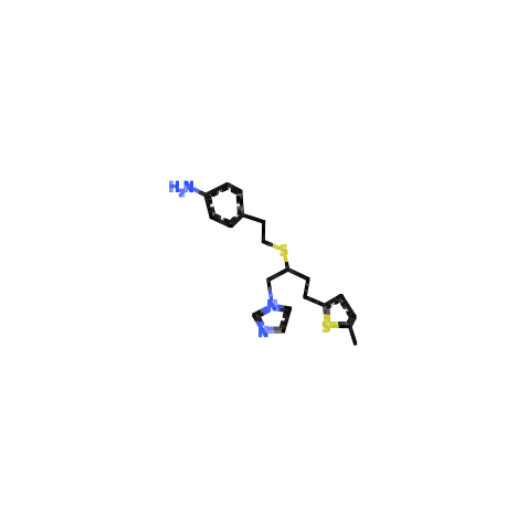 Cc1ccc(CCC(Cn2ccnc2)SCCc2ccc(N)cc2)s1